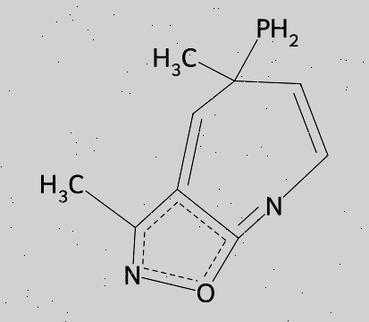 Cc1noc2c1=CC(C)(P)C=CN=2